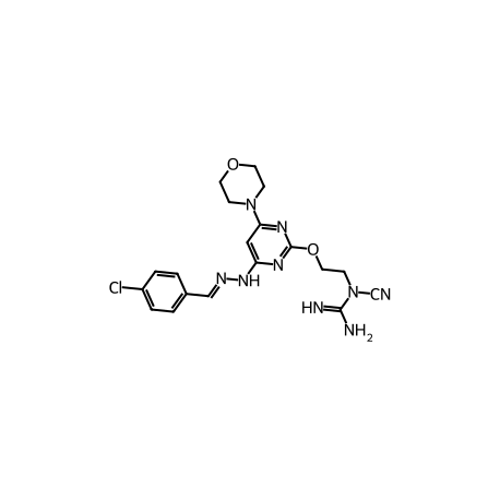 N#CN(CCOc1nc(N/N=C/c2ccc(Cl)cc2)cc(N2CCOCC2)n1)C(=N)N